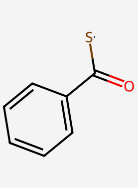 O=C([S])c1ccccc1